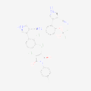 N#Cc1c[nH]cc1-c1cccc(Cl)c1Cl.N#Cc1c[nH]cc1-c1cccc2c1OC(F)(F)O2.O=C1C(Cl)=C(Cl)C(=O)N1c1ccc(F)cc1